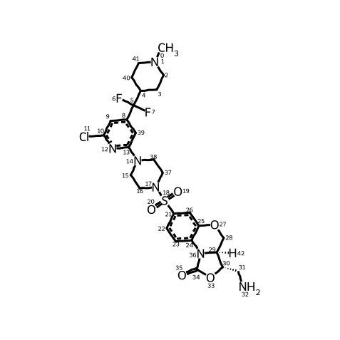 CN1CCC(C(F)(F)c2cc(Cl)nc(N3CCN(S(=O)(=O)c4ccc5c(c4)OC[C@H]4[C@H](CN)OC(=O)N54)CC3)c2)CC1